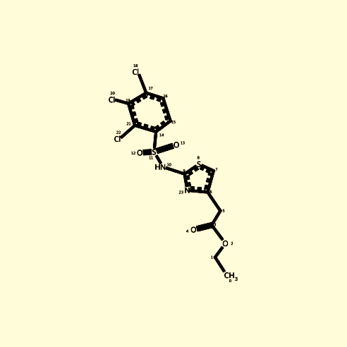 CCOC(=O)Cc1csc(NS(=O)(=O)c2ccc(Cl)c(Cl)c2Cl)n1